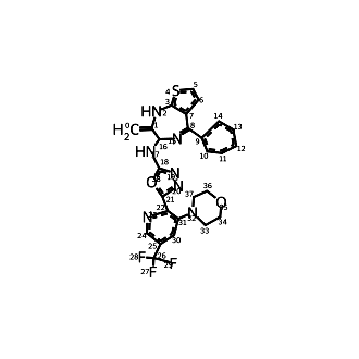 C=C1Nc2sccc2C(c2ccccc2)=NC1Nc1nnc(-c2ncc(C(F)(F)F)cc2N2CCOCC2)o1